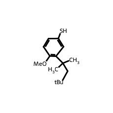 COc1ccc(S)cc1C(C)(C)CC(C)(C)C